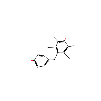 Cc1c(C)c(Cc2ccc(O)cc2)c(C)c(C)c1O